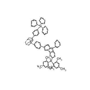 Cc1cc(C)c(B(c2ccc3c(c2)c2cc(-c4ccc(C56CC7CC(C5)CC(c5ccc([Si](c8ccccc8)(c8ccccc8)c8ccccc8)cc5)(C7)C6)cc4)ccc2n3-c2ccccc2)c2c(C)cc(C)cc2C)c(C)c1